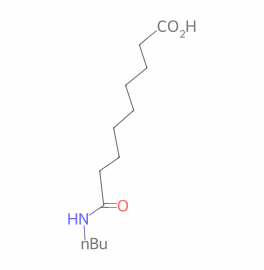 CCCCNC(=O)CCCCCCCC(=O)O